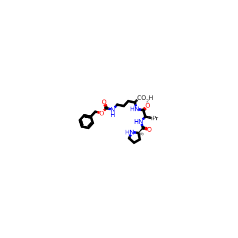 CC(C)C(NC(=O)[C@H]1CCCN1)C(=O)NC(CCCNC(=O)OCc1ccccc1)C(=O)O